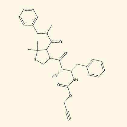 C#CCOC(=O)N[C@@H](Cc1ccccc1)[C@H](O)C(=O)N1CSC(C)(C)C1C(=O)N(C)Cc1ccccc1